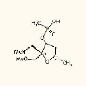 CNC[C@]1(COC)O[C@@H](C)CC1OP(C)(=O)O